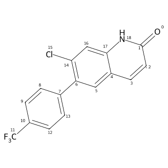 O=c1[c]cc2cc(-c3ccc(C(F)(F)F)cc3)c(Cl)cc2[nH]1